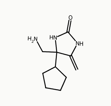 C=C1NC(=O)NC1(CN)C1CCCC1